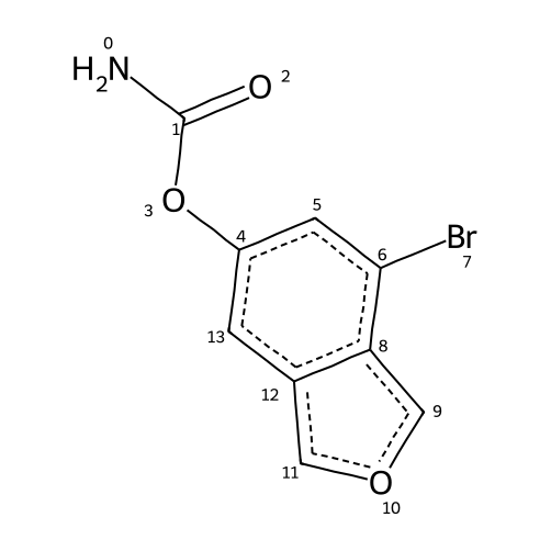 NC(=O)Oc1cc(Br)c2cocc2c1